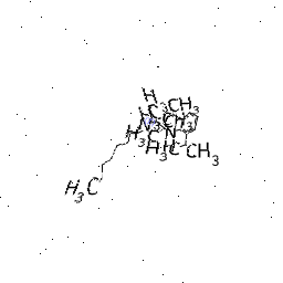 CCCCCCCC/N=C(/C)C(C)(C)Nc1c(C(C)C)cccc1C(C)C